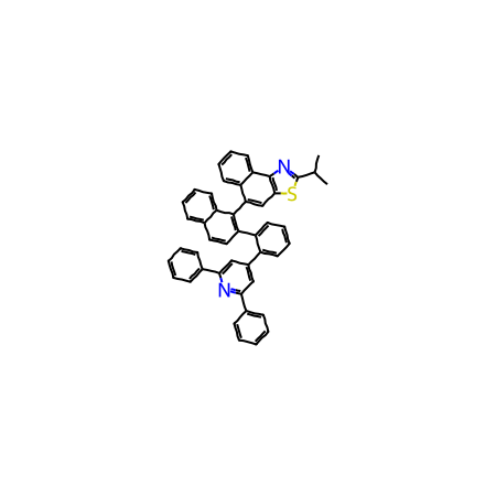 CC(C)c1nc2c(cc(-c3c(-c4ccccc4-c4cc(-c5ccccc5)nc(-c5ccccc5)c4)ccc4ccccc34)c3ccccc32)s1